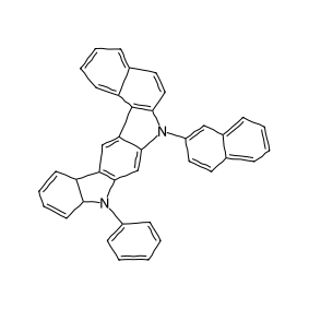 C1=CC2c3cc4c5c6ccccc6ccc5n(-c5ccc6ccccc6c5)c4cc3N(c3ccccc3)C2C=C1